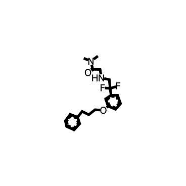 CN(C)C(=O)CNCC(F)(F)c1cccc(OCCCc2ccccc2)c1